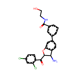 NC1c2ccc(-c3cccc(C(=O)NCCO)c3)cc2OC1C(=O)c1ccc(Cl)cc1Cl